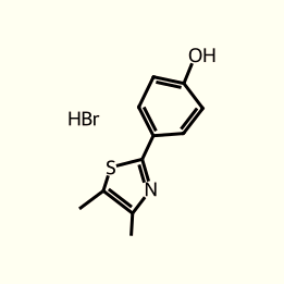 Br.Cc1nc(-c2ccc(O)cc2)sc1C